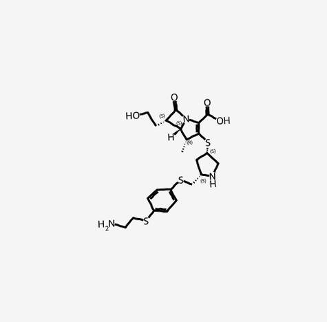 C[C@H]1C(S[C@@H]2CN[C@H](CSc3ccc(SCCN)cc3)C2)=C(C(=O)O)N2C(=O)[C@@H](CCO)[C@@H]12